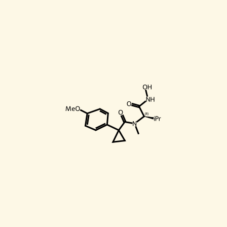 COc1ccc(C2(C(=O)N(C)[C@@H](C(=O)NO)C(C)C)CC2)cc1